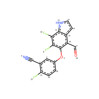 N#Cc1cc(Oc2c(F)c(F)c3[nH]ccc3c2C=O)ccc1F